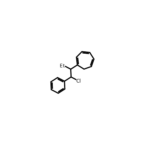 CCC(C1=CC=CC=CC1)C(Cl)c1ccccc1